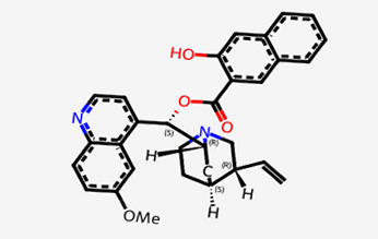 C=C[C@H]1CN2CC[C@H]1C[C@@H]2[C@@H](OC(=O)c1cc2ccccc2cc1O)c1ccnc2ccc(OC)cc12